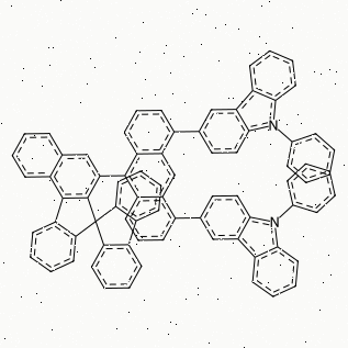 c1ccc(-n2c3ccccc3c3cc(-c4cccc5c(-c6cc7ccccc7c7c6C6(c8ccccc8-c8ccccc86)c6ccccc6-7)c6cccc(-c7ccc8c(c7)c7ccccc7n8-c7ccccc7)c6cc45)ccc32)cc1